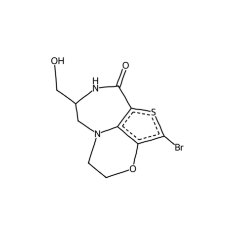 O=C1NC(CO)CN2CCOc3c(Br)sc1c32